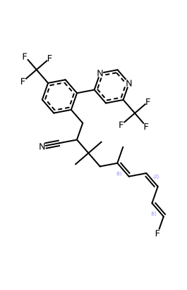 C\C(=C/C=C\C=C\F)CC(C)(C)C(C#N)Cc1ccc(C(F)(F)F)cc1-c1cc(C(F)(F)F)ncn1